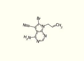 C=CCn1c(Br)c(C#N)c2c(N)ncnc21